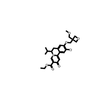 CCOC(=O)c1cn2c(cc1=O)-c1cc(Cl)c(OCC3(COC)COC3)cc1CC2C(C)C